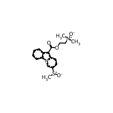 C[S+]([O-])c1ccc2c(C(=O)OCC[N+](C)(C)[O-])c3ccccc3n2c1